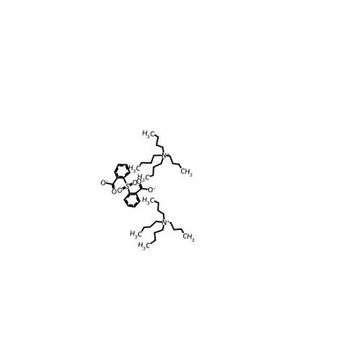 CCCC[N+](CCCC)(CCCC)CCCC.CCCC[N+](CCCC)(CCCC)CCCC.O=C([O-])c1ccccc1S(=O)(=O)c1ccccc1C(=O)[O-]